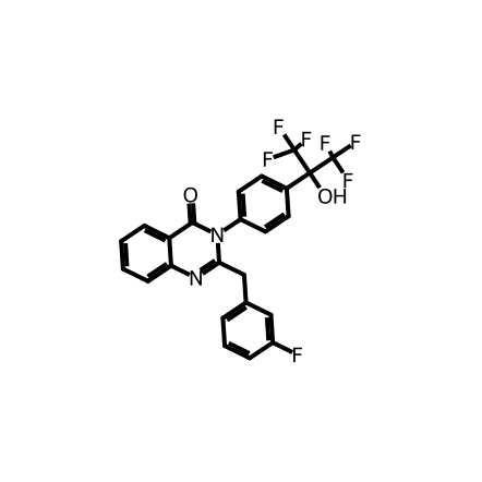 O=c1c2ccccc2nc(Cc2cccc(F)c2)n1-c1ccc(C(O)(C(F)(F)F)C(F)(F)F)cc1